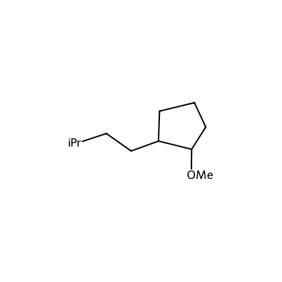 COC1CCCC1CCC(C)C